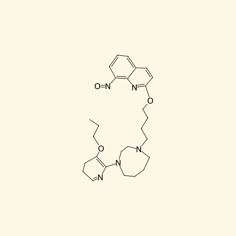 CCCOC1=C(N2CCCCN(CCCCOc3ccc4cccc(N=O)c4n3)CC2)N=CCC1